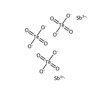 O=[Te](=O)([O-])[O-].O=[Te](=O)([O-])[O-].O=[Te](=O)([O-])[O-].[Sb+3].[Sb+3]